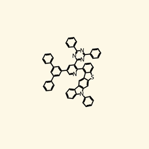 c1ccc(-c2cc(-c3ccccc3)cc(-c3cnc(-c4cccc5sc6cc7c(cc6c45)c4ccccc4n7-c4ccccc4)c(-c4nc(-c5ccccc5)nc(-c5ccccc5)n4)c3)c2)cc1